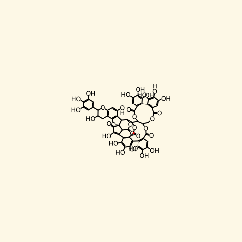 O=C1OCC2OC(=O)c3cc(O)c(O)c(O)c3-c3c(O)c(O)c(O)c4c3C(=O)OC(C2OC(=O)c2cc(O)c(O)c(O)c2-c2c1cc(O)c(O)c2O)C1OC(=O)C2C4=C(O)C(=O)C23Oc2c4c(cc(O)c2C13)OC(c1cc(O)c(O)c(O)c1)C(O)C4